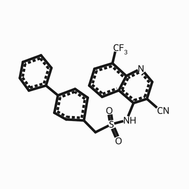 N#Cc1cnc2c(C(F)(F)F)cccc2c1NS(=O)(=O)Cc1ccc(-c2ccccc2)cc1